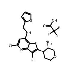 N[C@@H]1COCC[C@H]1c1sc2c(NCc3cccs3)cc(Cl)nc2c1Cl.O=C(O)C(F)(F)F